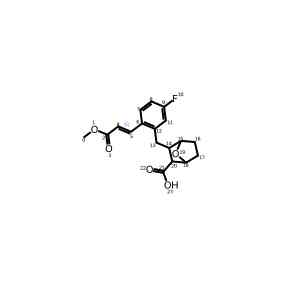 COC(=O)/C=C/c1ccc(F)cc1CC1C2CCC(O2)C1C(=O)O